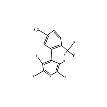 Cc1ccc(C(F)(F)F)c(-c2c(F)c(F)nc(F)c2F)c1